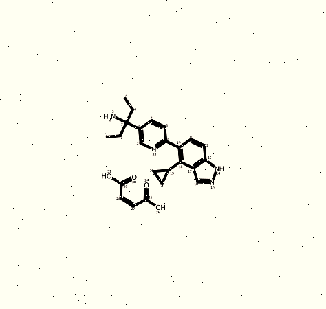 CCC(N)(CC)c1ccc(-c2ccc3[nH]ncc3c2C2CC2)nc1.O=C(O)/C=C\C(=O)O